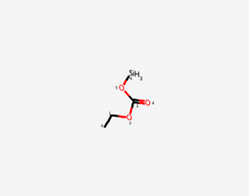 CCOC(=O)O[SiH3]